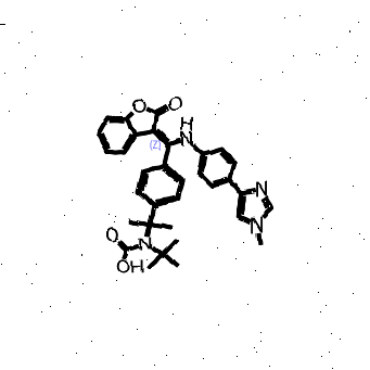 Cn1cnc(-c2ccc(N/C(=C3\C(=O)Oc4ccccc43)c3ccc(C(C)(C)N(C(=O)O)C(C)(C)C)cc3)cc2)c1